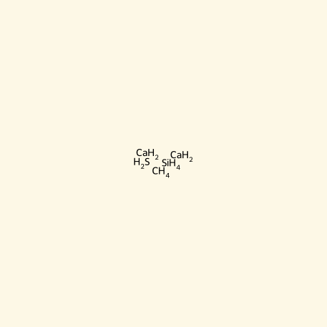 C.S.[CaH2].[CaH2].[SiH4]